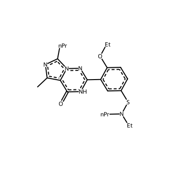 CCCc1nc(C)c2c(=O)[nH]c(-c3cc(SN(CC)CCC)ccc3OCC)nn12